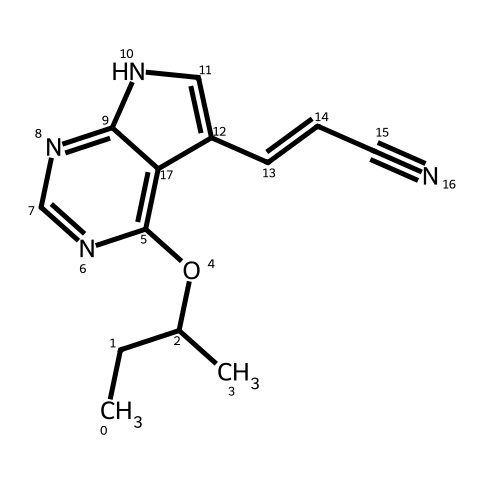 CCC(C)Oc1ncnc2[nH]cc(C=CC#N)c12